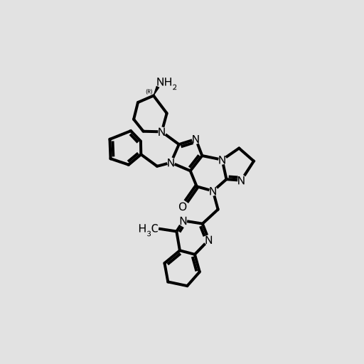 Cc1nc(CN2C(=O)c3c(nc(N4CCC[C@@H](N)C4)n3Cc3ccccc3)N3CCN=C23)nc2c1=CCCC=2